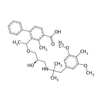 COc1cc(CC(C)(C)NC[C@@H](O)COC(C)c2c(-c3ccccc3)ccc(C(=O)O)c2C)cc(OC)c1C